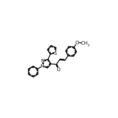 COc1ccc(C=CC(=O)c2cn(-c3ccccc3)nc2-c2cccs2)cc1